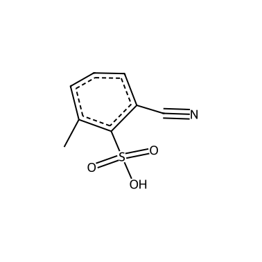 Cc1cccc(C#N)c1S(=O)(=O)O